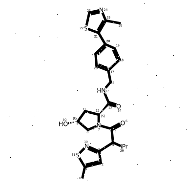 Cc1cc(C(C(=O)N2C[C@H](O)C[C@H]2C(=O)NCc2ccc(-c3scnc3C)cc2)C(C)C)ns1